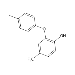 Cc1ccc(Oc2cc(C(F)(F)F)ccc2O)cc1